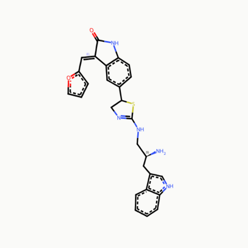 N[C@H](CNC1=NCC(c2ccc3c(c2)/C(=C\c2ccco2)C(=O)N3)S1)Cc1c[nH]c2ccccc12